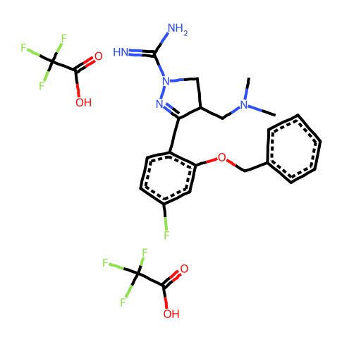 CN(C)CC1CN(C(=N)N)N=C1c1ccc(F)cc1OCc1ccccc1.O=C(O)C(F)(F)F.O=C(O)C(F)(F)F